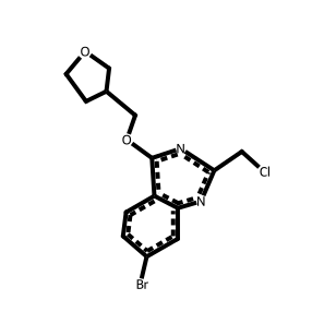 ClCc1nc(OCC2CCOC2)c2ccc(Br)cc2n1